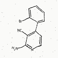 N#Cc1c(-c2ccccc2Br)ccnc1N